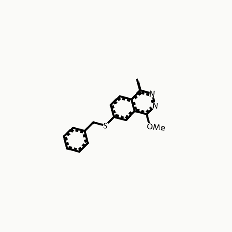 COc1nnc(C)c2ccc(SCc3ccccc3)cc12